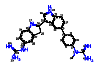 CN(C(=N)N)c1ccc(-c2ccc3[nH]cc(C4=Nc5ccc(NC(=N)N)cc5C4)c3c2)cc1